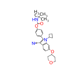 CC(C)(C)NC(=O)Oc1ccc(-c2c(C#N)c3ccc(OC4CCOCC4)cc3n2C2CCC2)cc1